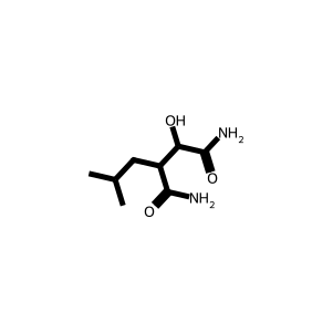 CC(C)CC(C(N)=O)C(O)C(N)=O